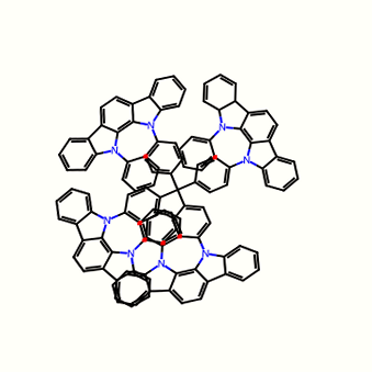 C1=CC2c3ccc4c5ccccc5n(-c5ccc(C(c6ccc(-n7c8ccccc8c8ccc9c%10ccccc%10n(-c%10ccccc%10)c9c87)cc6)(c6ccc(-n7c8ccccc8c8ccc9c%10ccccc%10n(-c%10ccccc%10)c9c87)cc6)c6ccc(-n7c8ccccc8c8ccc9c%10ccccc%10n(-c%10ccccc%10)c9c87)cc6)cc5)c4c3N(c3ccccc3)C2C=C1